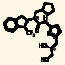 O=C(Nc1ccn(C[C@@H](O)CO)n1)[C@H](CC1CCCC1)N1Cc2ccccc2C1C(F)(F)F